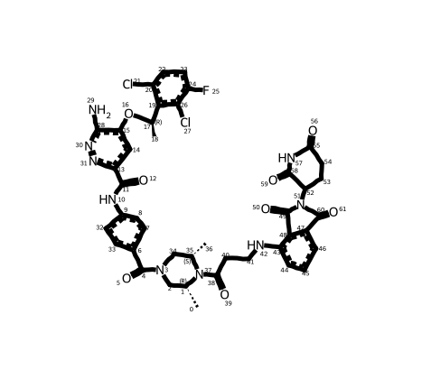 C[C@@H]1CN(C(=O)c2ccc(NC(=O)c3cc(O[C@H](C)c4c(Cl)ccc(F)c4Cl)c(N)nn3)cc2)C[C@H](C)N1C(=O)CCNc1cccc2c1C(=O)N(C1CCC(=O)NC1=O)C2=O